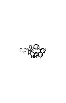 O=S(=O)(NCC(F)(F)F)C1CCCN(c2cncc3cnc4[nH]ccc4c23)C1